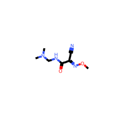 CO/N=C(\C#N)C(=O)NCN(C)C